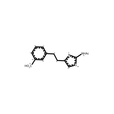 CC(=O)Nc1nc(CCc2cccc(C(=O)O)c2)cs1